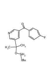 CC(C)(C)[SiH2]OC(C)(C)c1cncc(C(=O)c2ccc(F)cc2)c1